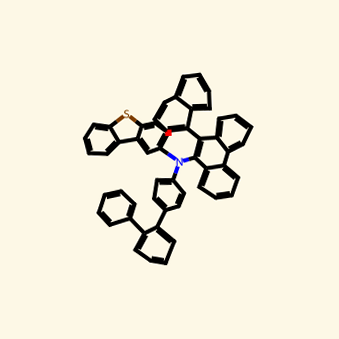 c1ccc(-c2ccccc2-c2ccc(N(c3ccc4sc5ccccc5c4c3)c3c(-c4cccc5ccccc45)c4ccccc4c4ccccc34)cc2)cc1